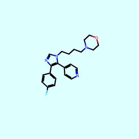 Fc1ccc(-c2ncn(CCCCN3CCOCC3)c2-c2ccncc2)cc1